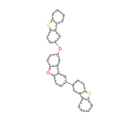 c1ccc2c(c1)sc1ccc(Oc3ccc4oc5ccc(-c6ccc7sc8ccccc8c7c6)cc5c4c3)cc12